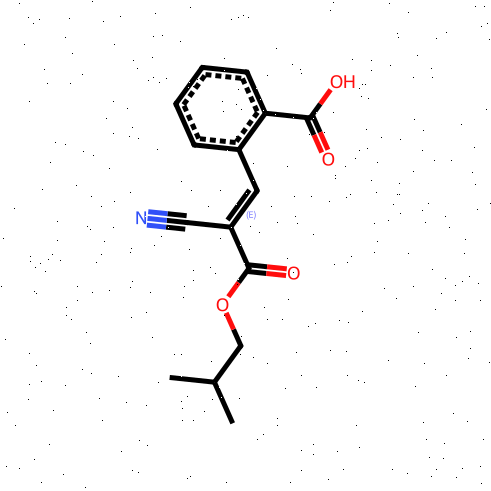 CC(C)COC(=O)/C(C#N)=C/c1ccccc1C(=O)O